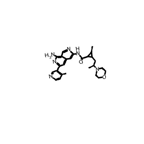 Cc1ccncc1-c1cc2cc(NC(=O)C3C(C)C3CC(C)N3CCOCC3)ncc2c(N)n1